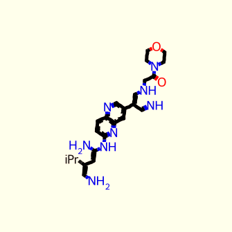 CC(C)C(=C/N)/C=C(\N)Nc1ccc2ncc(/C(C=N)=C/NCC(=O)N3CCOCC3)cc2n1